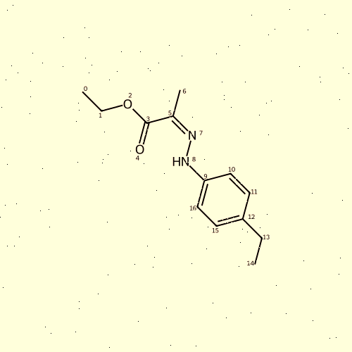 CCOC(=O)C(C)=NNc1ccc(CC)cc1